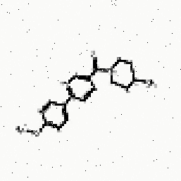 COc1ccc(-c2ccc(C(=O)N3CCC(C)CC3)cn2)cc1